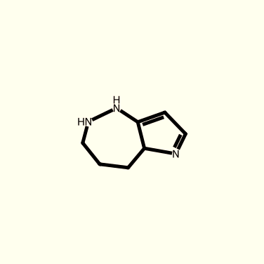 C1=NC2CCCNNC2=C1